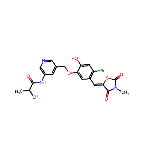 CC(C)C(=O)Nc1cncc(COc2cc(/C=C3\SC(=O)N(C)C3=O)c(Br)cc2O)c1